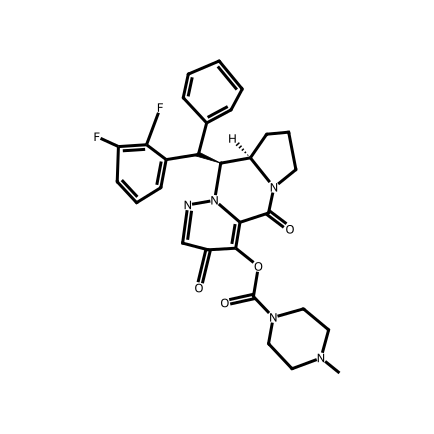 CN1CCN(C(=O)Oc2c3n(ncc2=O)[C@@H](C(c2ccccc2)c2cccc(F)c2F)[C@H]2CCCN2C3=O)CC1